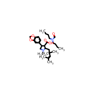 CC(C)=CC(C)(C)CC1C(C(=O)O)C(c2ccc3c(c2)OCO3)CN1C.CCCCN(C=O)CCCC